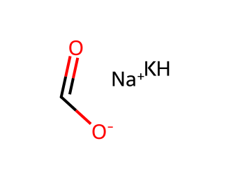 O=C[O-].[KH].[Na+]